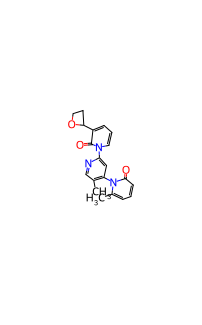 Cc1cnc(-n2cccc(C3CCO3)c2=O)cc1-n1c(C)cccc1=O